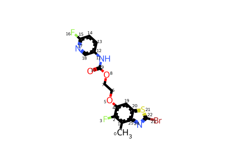 Cc1c(F)c(OCCOC(=O)Nc2ccc(F)nc2)cc2sc(Br)nc12